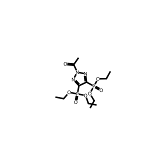 CCOP(=O)(OCC)c1nn(C(C)=O)nc1P(=O)(OCC)OCC